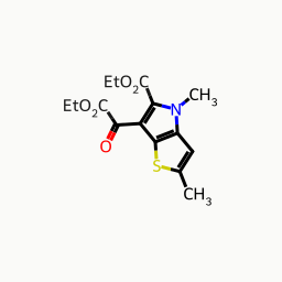 CCOC(=O)C(=O)c1c(C(=O)OCC)n(C)c2cc(C)sc12